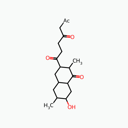 CC(=O)CC(=O)CCC(=O)C1CC2CC(C)C(O)CC2C(=O)C1C